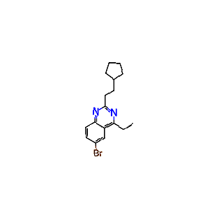 CCc1nc(CCC2CCCC2)nc2ccc(Br)cc12